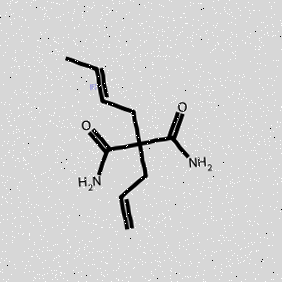 C=CCC(C/C=C/C)(C(N)=O)C(N)=O